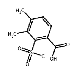 Cc1ccc(C(=O)O)c(S(=O)(=O)Cl)c1C